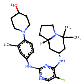 CC1(C)C[C@H](Nc2nc(Nc3ccc(N4CCC(O)CC4)c(C#N)c3)ncc2F)C[C@@H]2CCCN21